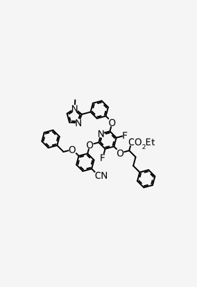 CCOC(=O)C(CCc1ccccc1)Oc1c(F)c(Oc2cccc(-c3nccn3C)c2)nc(Oc2cc(C#N)ccc2OCc2ccccc2)c1F